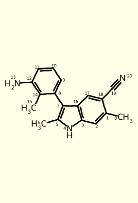 Cc1cc2[nH]c(C)c(-c3cccc(N)c3C)c2cc1C#N